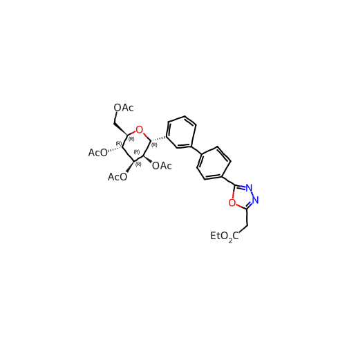 CCOC(=O)Cc1nnc(-c2ccc(-c3cccc([C@H]4O[C@H](COC(C)=O)[C@@H](OC(C)=O)[C@H](OC(C)=O)[C@@H]4OC(C)=O)c3)cc2)o1